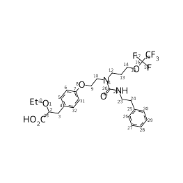 CCOC(Cc1ccc(OCCN(CCCOC(F)(F)C(F)(F)F)C(=O)NCCc2ccccc2)cc1)C(=O)O